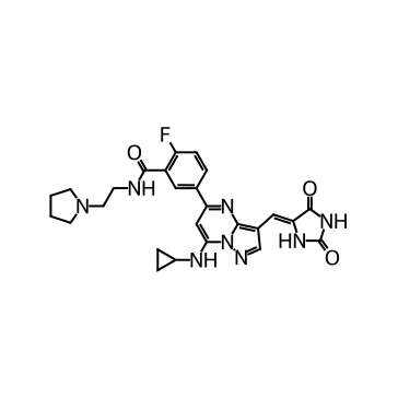 O=C1NC(=O)/C(=C/c2cnn3c(NC4CC4)cc(-c4ccc(F)c(C(=O)NCCN5CCCC5)c4)nc23)N1